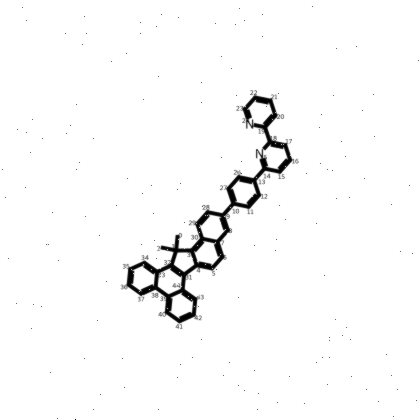 CC1(C)c2c(ccc3cc(-c4ccc(-c5cccc(-c6ccccn6)n5)cc4)ccc23)-c2c1c1ccccc1c1ccccc21